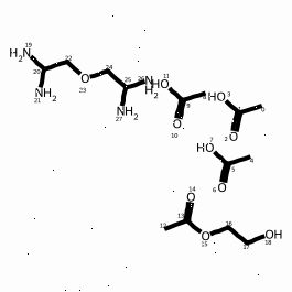 CC(=O)O.CC(=O)O.CC(=O)O.CC(=O)OCCO.NC(N)COCC(N)N